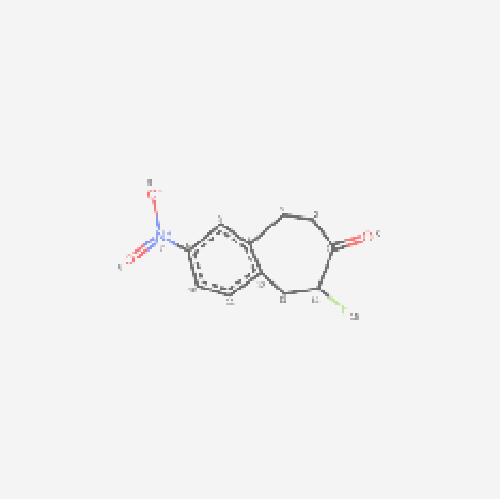 O=C1CCc2cc([N+](=O)[O-])ccc2CC1F